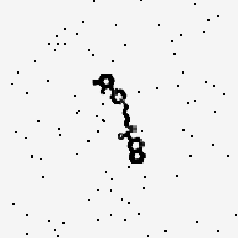 Cc1cccc(N2CCN(CCCCNC(=O)C3=Cc4ccccc4OC3)CC2)c1C